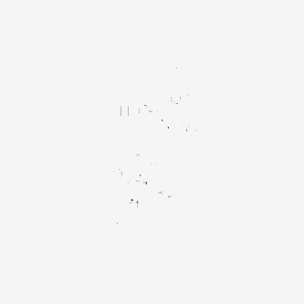 C=C1C2C3C=CC(O3)C2C(=O)N1c1ccc(N2C(=O)C3C4C=CC(O4)C3C2=O)cc1